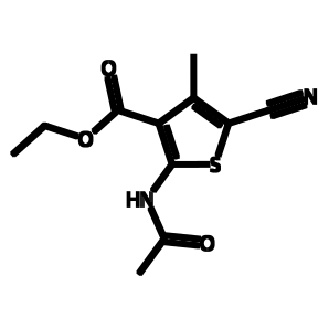 CCOC(=O)c1c(NC(C)=O)sc(C#N)c1C